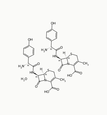 CC1=C(C(=O)O)N2C(=O)[C@@H](NC(=O)[C@H](N)c3ccc(O)cc3)[C@H]2SC1.CC1=C(C(=O)O)N2C(=O)[C@@H](NC(=O)[C@H](N)c3ccc(O)cc3)[C@H]2SC1.O